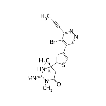 CC#Cc1nncc(-c2csc([C@]3(C)CC(=O)N(C)C(=N)N3)c2)c1Br